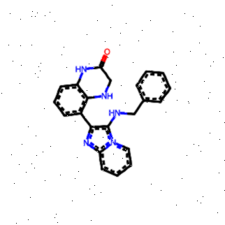 O=C1CNc2c(cccc2-c2nc3ccccn3c2NCc2ccccc2)N1